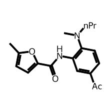 CCCN(C)c1ccc(C(C)=O)cc1NC(=O)c1ccc(C)o1